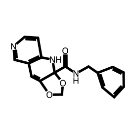 O=C(NCc1ccccc1)C12Nc3ccncc3C=C1OCO2